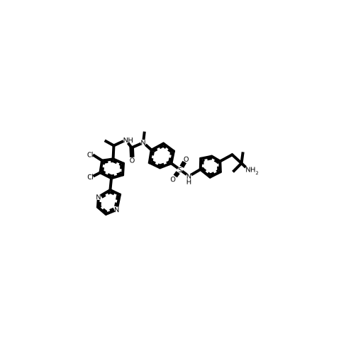 CC(NC(=O)N(C)c1ccc(S(=O)(=O)Nc2ccc(CC(C)(C)N)cc2)cc1)c1ccc(-c2cnccn2)c(Cl)c1Cl